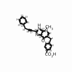 Cn1cc(Cc2ccc(C(=O)O)cc2)c(=O)c2nc(C#CCc3ccccc3)[nH]c21